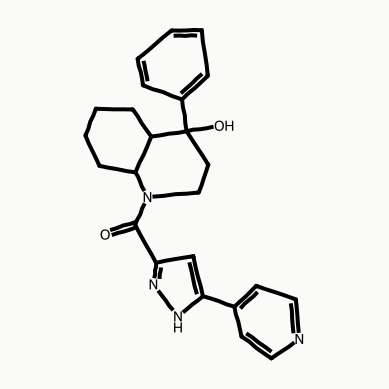 O=C(c1cc(-c2ccncc2)[nH]n1)N1CCC(O)(c2ccccc2)C2CCCCC21